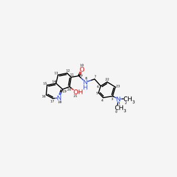 CN(C)c1ccc(CNC(=O)c2ccc3cccnc3c2O)cc1